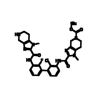 Cn1c(C(=O)Nc2cccc(-c3cccc(NC(=O)c4nc5c(n4C)CCN(C(=O)OC(C)(C)C)C5)c3Cl)c2F)nc2c1CCNC2